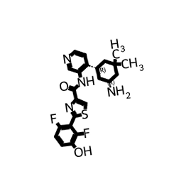 CC1(C)C[C@H](N)C[C@H](c2ccncc2NC(=O)c2csc(-c3c(F)ccc(O)c3F)n2)C1